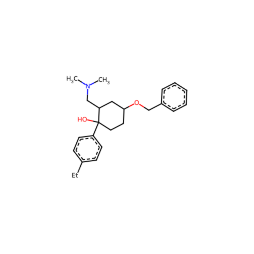 CCc1ccc(C2(O)CCC(OCc3ccccc3)CC2CN(C)C)cc1